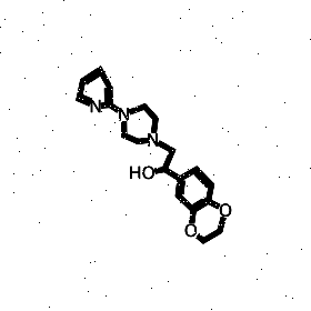 OC(CN1CCN(c2ccccn2)CC1)c1ccc2c(c1)OCCO2